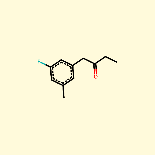 CCC(=O)Cc1cc(C)cc(F)c1